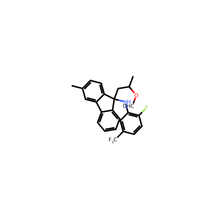 Cc1ccc2c(c1)-c1ccccc1C2(CC(C)OC=O)Nc1cc(C(F)(F)F)ccc1F